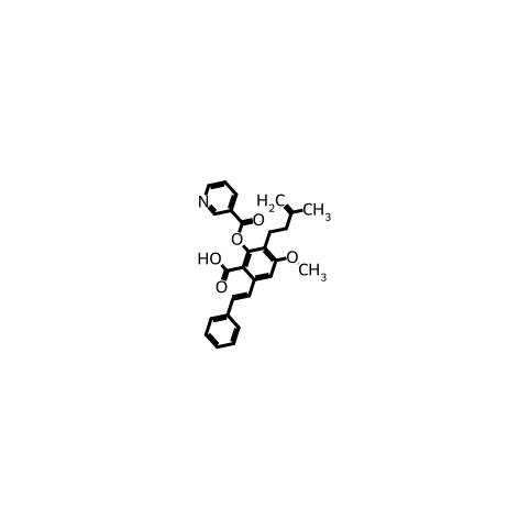 C=C(C)CCc1c(OC)cc(/C=C/c2ccccc2)c(C(=O)O)c1OC(=O)c1cccnc1